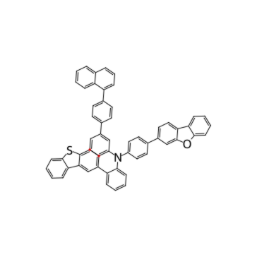 c1cc(-c2ccc(-c3cccc4ccccc34)cc2)cc(N(c2ccc(-c3ccc4c(c3)oc3ccccc34)cc2)c2ccccc2-c2ccc3sc4ccccc4c3c2)c1